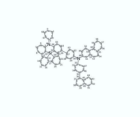 c1ccc(N2c3ccccc3[Si](c3ccccc3)(c3ccccc3)c3cc(-c4ccc(N(c5ccc(-c6cccc7ccccc67)cc5)c5ccc6c(ccc7ccccc76)c5)cc4)ccc32)cc1